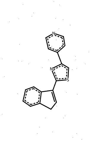 C1=C(c2nc(-c3ccncc3)cs2)c2ccccc2C1